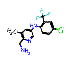 Cc1cc(Nc2ccc(Cl)cc2C(F)(F)F)cnc1CN